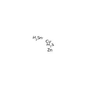 S.[Cu].[SnH2].[Zn]